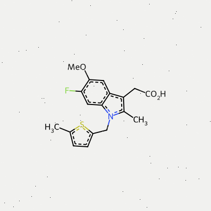 COc1cc2c(CC(=O)O)c(C)n(Cc3ccc(C)s3)c2cc1F